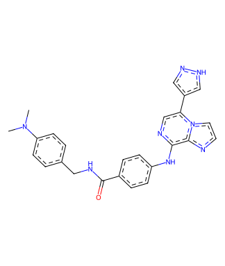 CN(C)c1ccc(CNC(=O)c2ccc(Nc3ncc(-c4cn[nH]c4)n4ccnc34)cc2)cc1